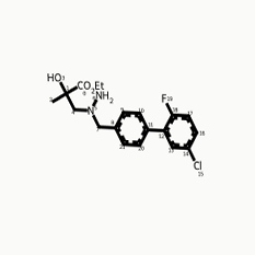 CCOC(=O)C(C)(O)CN(N)Cc1ccc(-c2cc(Cl)ccc2F)cc1